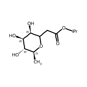 CC(C)OC(=O)CC1O[C@@H](C)[C@H](O)[C@@H](O)[C@H]1O